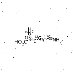 [15NH2][13CH2][13CH2][13CH2][13CH2][13C@H]([15NH2])[13C](=O)O